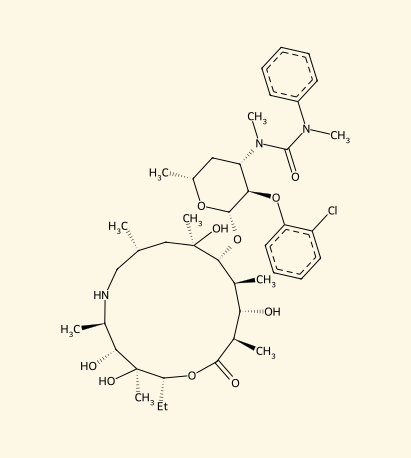 CC[C@H]1OC(=O)[C@H](C)[C@@H](O)[C@H](C)[C@@H](O[C@@H]2O[C@H](C)C[C@H](N(C)C(=O)N(C)c3ccccc3)[C@H]2Oc2ccccc2Cl)[C@](C)(O)C[C@@H](C)CN[C@H](C)[C@@H](O)[C@]1(C)O